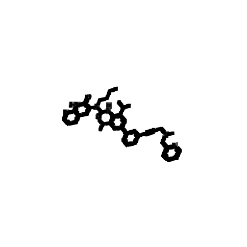 CCCCN(C(=O)Nc1c(C(C)C)cc(-c2cccc(C#CCN(C)Cc3ccccn3)c2)cc1C(C)C)c1cc2cccnc2[nH]c1=O